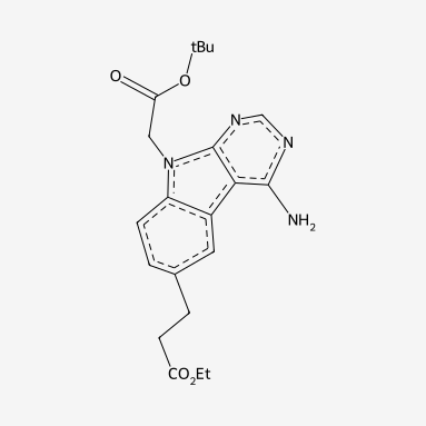 CCOC(=O)CCc1ccc2c(c1)c1c(N)ncnc1n2CC(=O)OC(C)(C)C